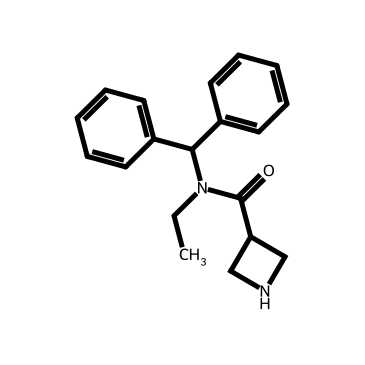 CCN(C(=O)C1CNC1)C(c1ccccc1)c1ccccc1